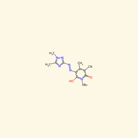 CCCCn1c(O)c(N=Nc2nc(C)n(C)n2)c(C)c(C#N)c1=O